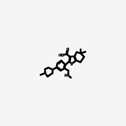 CNCc1cc(N2CCN(C)CC2)ccc1-c1sc2c(c1C(=O)O)CC(C)(C)CC2